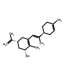 C=C(C)[C@@H]1CC(/C=C(\C)[C@@H]2CC=C(C)CC2)=C(C)[C@H](O)C1